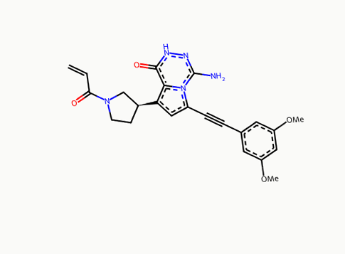 C=CC(=O)N1CC[C@H](c2cc(C#Cc3cc(OC)cc(OC)c3)n3c(N)n[nH]c(=O)c23)C1